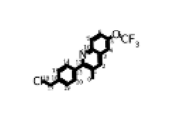 Cc1cc2cc(OC(F)(F)F)ccc2nc1-c1ccc(CCl)cc1